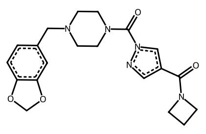 O=C(c1cnn(C(=O)N2CCN(Cc3ccc4c(c3)OCO4)CC2)c1)N1CCC1